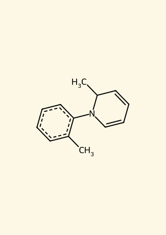 Cc1ccccc1N1C=CC=CC1C